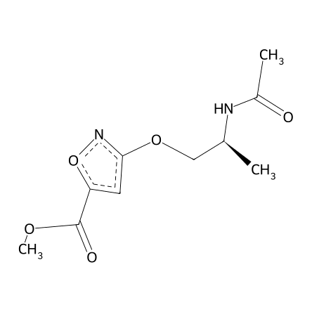 COC(=O)c1cc(OC[C@H](C)NC(C)=O)no1